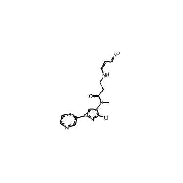 CN(C(=O)CCN/C=C\C=N)c1cn(-c2cccnc2)nc1Cl